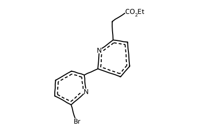 CCOC(=O)Cc1cccc(-c2cccc(Br)n2)n1